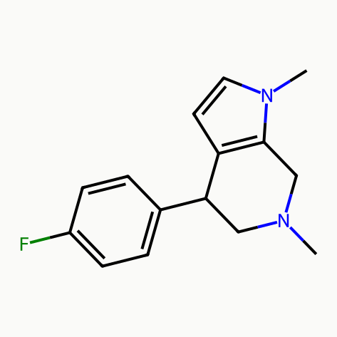 CN1Cc2c(ccn2C)C(c2ccc(F)cc2)C1